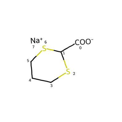 O=C([O-])C1SCCCS1.[Na+]